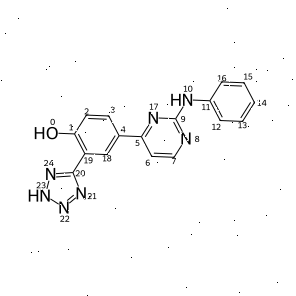 Oc1ccc(-c2ccnc(Nc3ccccc3)n2)cc1-c1nn[nH]n1